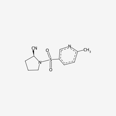 Cc1ccc(S(=O)(=O)N2CCC[C@H]2C#N)cn1